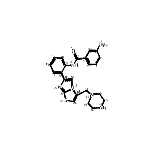 COc1cccc(C(=O)Nc2ccccc2-c2cn3c(CN4CCNCC4)csc3n2)c1